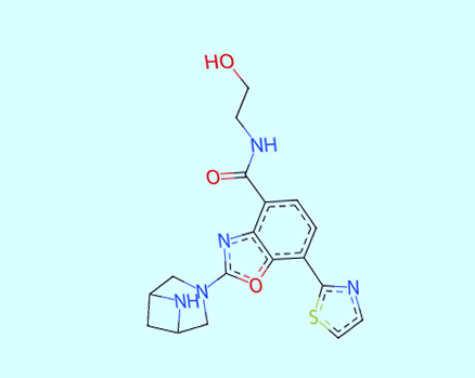 O=C(NCCO)c1ccc(-c2nccs2)c2oc(N3CC4CC(C3)N4)nc12